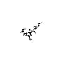 C=O.Nc1nc(N)nc(N)n1.O=CC=O.OCCO